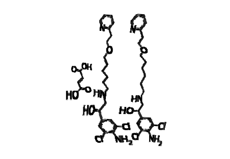 Nc1c(Cl)cc([C@@H](O)CNCCCCCCOCCc2ccccn2)cc1Cl.Nc1c(Cl)cc([C@@H](O)CNCCCCCCOCCc2ccccn2)cc1Cl.O=C(O)/C=C/C(=O)O